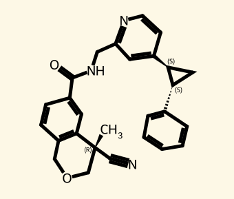 C[C@@]1(C#N)COCc2ccc(C(=O)NCc3cc([C@H]4C[C@@H]4c4ccccc4)ccn3)cc21